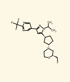 CC(C)n1nc(-c2cnc(C(F)(F)F)nc2)cc1[C@H]1CC[C@H](N2CCO[C@H](CF)C2)C1